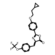 O=C1OC(c2ccc(OCCC3CC3)cc2)=N/C1=C\c1ccc(OC(F)(F)F)cc1